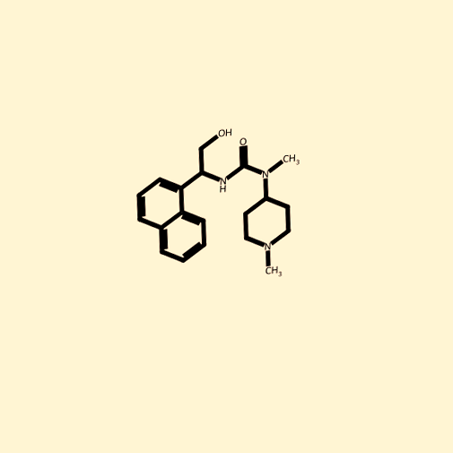 CN1CCC(N(C)C(=O)NC(CO)c2cccc3ccccc23)CC1